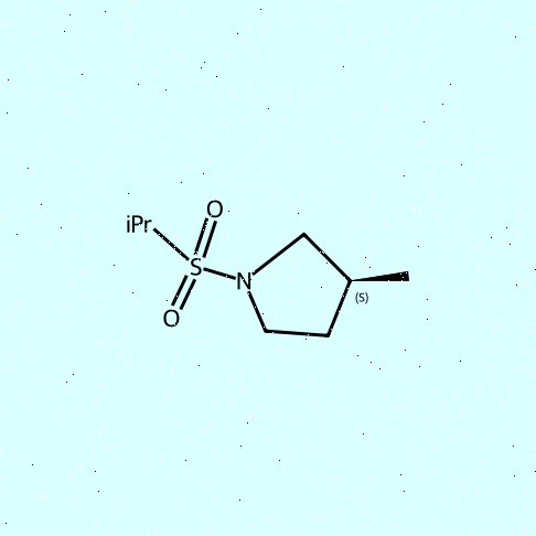 CC(C)S(=O)(=O)N1CC[C@H](C)C1